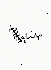 CC(=O)N(C)CCCNS(=O)(=O)C(F)(F)C(F)(F)C(F)(F)C(F)(F)C(F)(F)C(F)(F)F